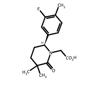 Cc1ccc([C@@H]2CCC(C)(C)C(=O)N2CC(=O)O)cc1F